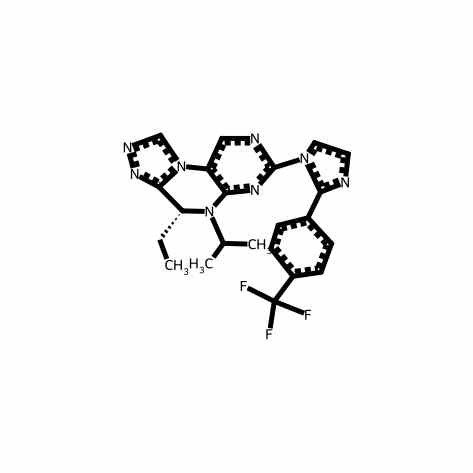 CC[C@@H]1c2nncn2-c2cnc(-n3ccnc3-c3ccc(C(F)(F)F)cc3)nc2N1C(C)C